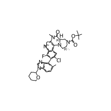 Cc1ccc2c(ncn2C2CCCCO2)c1-c1c(Cl)cc2c3c(cnc2c1F)N(C)C(=O)[C@H]1CN(C(=O)OC(C)(C)C)[C@H](C)CN31